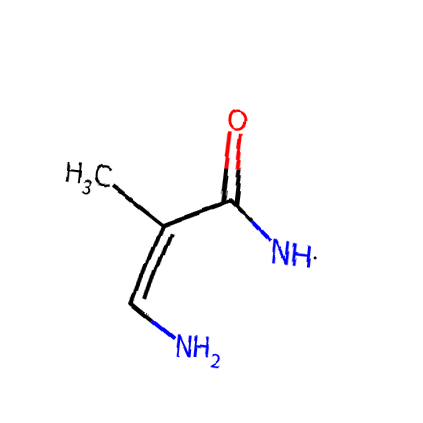 CC(=CN)C([NH])=O